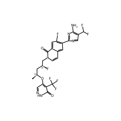 C[C@@H](C[C@H](F)Cn1ccc2cc(-c3ncc(C(F)F)c(N)n3)c(F)cc2c1=O)Oc1cn[nH]c(=O)c1C(F)(F)F